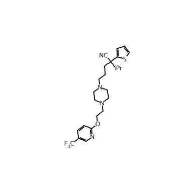 CC(C)C(C#N)(CCCN1CCN(CCOc2ccc(C(F)(F)F)cn2)CC1)c1cccs1